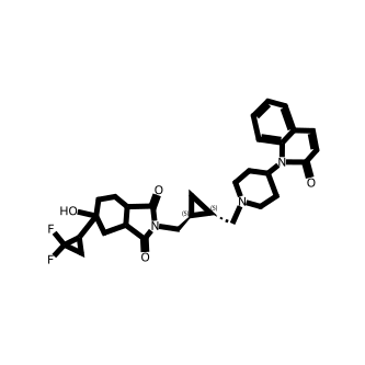 O=C1C2CCC(O)(C3CC3(F)F)CC2C(=O)N1C[C@H]1C[C@@H]1CN1CCC(n2c(=O)ccc3ccccc32)CC1